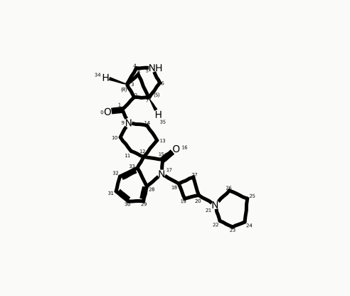 O=C(C1[C@@H]2CNC[C@H]1C2)N1CCC2(CC1)C(=O)N(C1CC(N3CCCCC3)C1)c1ccccc12